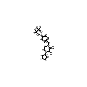 CC1(C)OB(c2cnc(CN3CCN(C4CCCC4)C(=O)C3=O)nc2)OC1(C)C